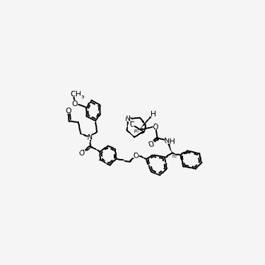 COc1cccc(CN(CCC=O)C(=O)c2ccc(COc3cccc([C@@H](NC(=O)O[C@H]4CN5CCC4CC5)c4ccccc4)c3)cc2)c1